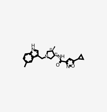 Cc1ccc2[nH]cc(CN3C[C@@H](C)[C@@H](NC(=O)c4cc(C5CC5)on4)C3)c2c1